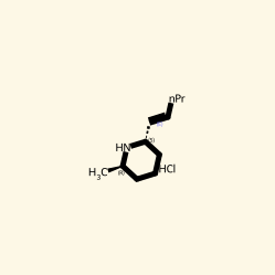 CCC/C=C/[C@@H]1CCC[C@@H](C)N1.Cl